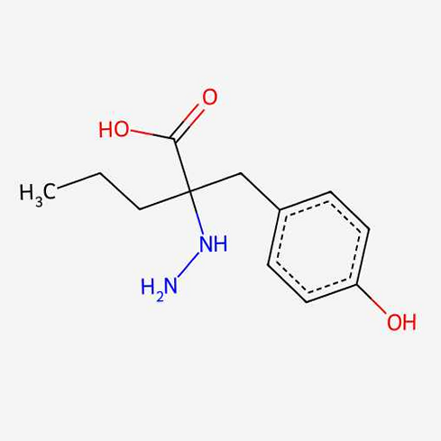 CCCC(Cc1ccc(O)cc1)(NN)C(=O)O